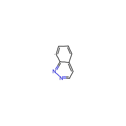 [c]1cccc2ccnnc12